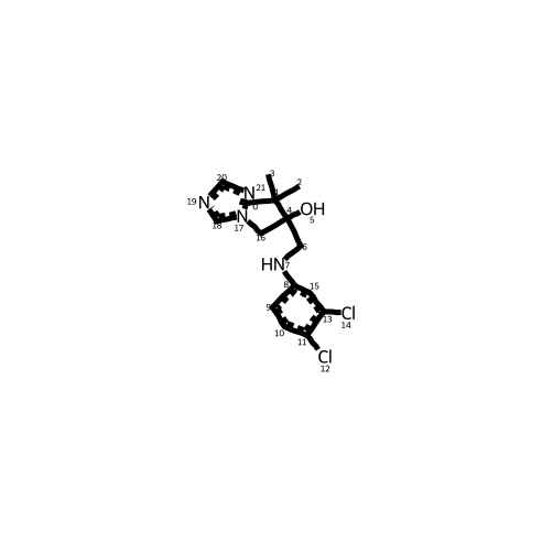 CC(C)(C)C(O)(CNc1ccc(Cl)c(Cl)c1)Cn1cncn1